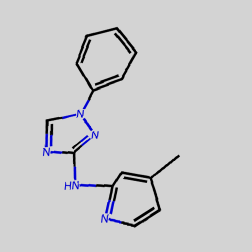 Cc1ccnc(Nc2ncn(-c3ccccc3)n2)c1